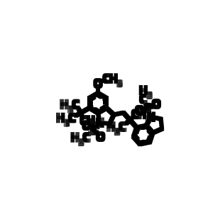 COc1cc2c(c(C(C)(C)C)c1)N(S(C)(=O)=O)CC2CC(C)(C)c1cccc2c1N(S(C)(=O)=O)CC2